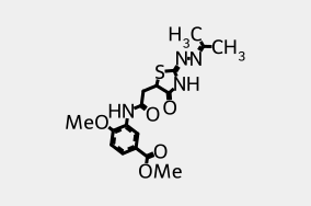 COC(=O)c1ccc(OC)c(NC(=O)CC2S/C(=N/N=C(C)C)NC2=O)c1